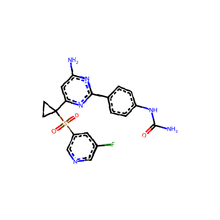 NC(=O)Nc1ccc(-c2nc(N)cc(C3(S(=O)(=O)c4cncc(F)c4)CC3)n2)cc1